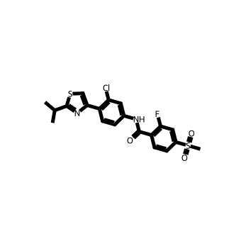 CC(C)c1nc(-c2ccc(NC(=O)c3ccc(S(C)(=O)=O)cc3F)cc2Cl)cs1